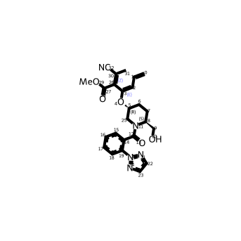 C=C/C=C(O[C@@H]1CC[C@@H](CO)N(C(=O)c2ccccc2-n2nccn2)C1)\C(C(=O)OC)=C(/C)C#N